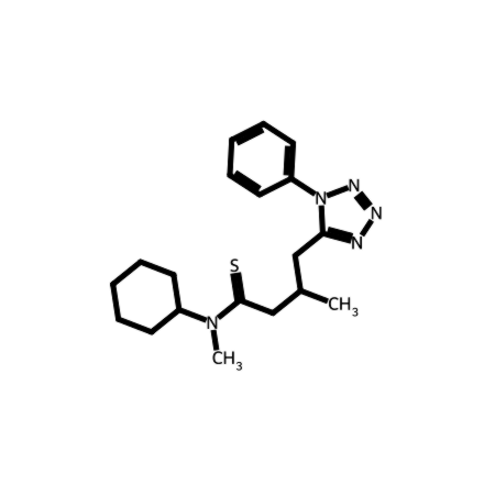 CC(CC(=S)N(C)C1CCCCC1)Cc1nnnn1-c1ccccc1